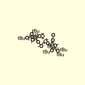 Cc1cc2c3c(c1)N(c1ccc(-c4c(C)cccc4CC4(C)CCC(C)(C)c5cc6c7c(oc6cc54)B4c5cc(C(C)(C)C)ccc5N(c5cc(C(C)(C)C)cc(C(C)(C)C)c5C)c5cc(C)cc(c54)N7c4ccc(-c5ccccc5)cc4)cc1)c1c(oc4cc5c(cc14)C(C)(C)CCC5(C)C)B3c1cc(C(C)(C)C)ccc1N2c1ccc(C(C)(C)C)cc1C